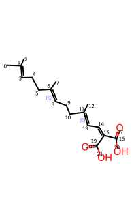 CC(C)=CCC/C(C)=C/CC/C(C)=C/C=C(C(=O)O)C(=O)O